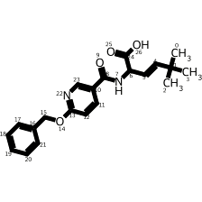 CC(C)(C)C=CC(NC(=O)c1ccc(OCc2ccccc2)nc1)C(=O)O